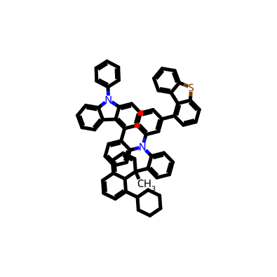 CC1(c2ccccc2N(c2cccc(-c3cccc4sc5ccccc5c34)c2)c2ccccc2-c2cccc3c2c2ccccc2n3-c2ccccc2)C=CC=C2C=CC=C(C3CCCCC3)C21